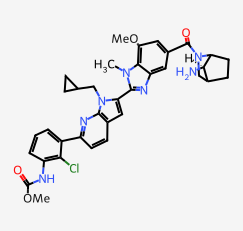 COC(=O)Nc1cccc(-c2ccc3cc(-c4nc5cc(C(=O)N6CC7CCC6[C@@H]7N)cc(OC)c5n4C)n(CC4CC4)c3n2)c1Cl